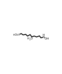 CCCCCCCCCCCCCCCCCCNO.O